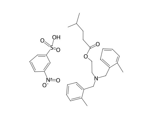 Cc1ccccc1CN(CCOC(=O)CCC(C)C)Cc1ccccc1C.O=[N+]([O-])c1cccc(S(=O)(=O)O)c1